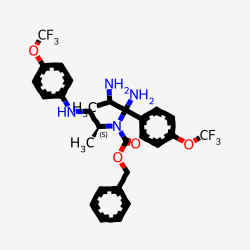 CC(N)C(N)(c1ccc(OC(F)(F)F)cc1)N(C(=O)OCc1ccccc1)[C@@H](C)CNc1ccc(OC(F)(F)F)cc1